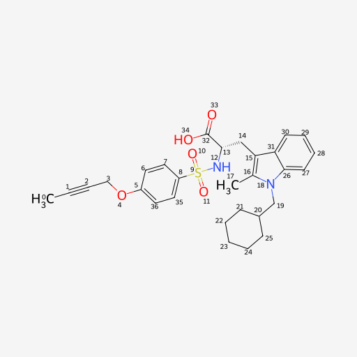 CC#CCOc1ccc(S(=O)(=O)N[C@@H](Cc2c(C)n(CC3CCCCC3)c3ccccc23)C(=O)O)cc1